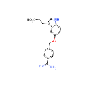 N=C(N)c1ccc(COc2ccc3[nH]cc(CCC(=O)O)c3c2)cc1